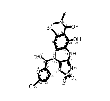 CN(C)C(=O)c1c(Br)ccc(NC2=NS(=O)(=O)N=C2N[C@@H](c2ccc(Cl)o2)C(C)(C)C)c1O